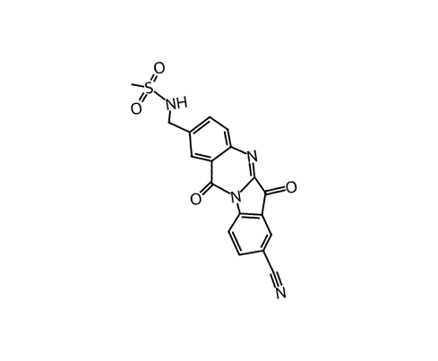 CS(=O)(=O)NCc1ccc2nc3n(c(=O)c2c1)-c1ccc(C#N)cc1C3=O